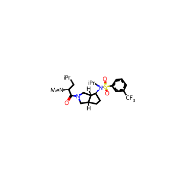 CN[C@@H](CC(C)C)C(=O)N1C[C@H]2CC[C@H](N(C(C)C)S(=O)(=O)c3cccc(C(F)(F)F)c3)[C@H]2C1